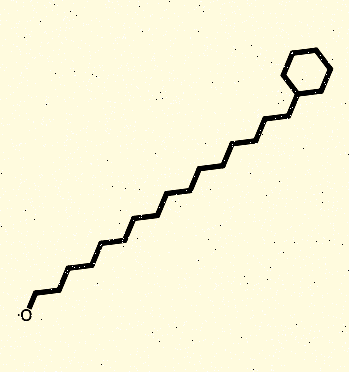 [O]CCCCCCCCCCCCCCCCC1CCCCC1